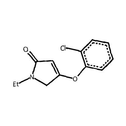 CCN1CC(Oc2ccccc2Cl)=CC1=O